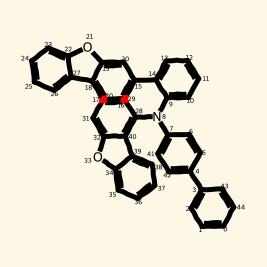 c1ccc(-c2ccc(N(c3ccccc3-c3ccc4c(c3)oc3ccccc34)c3cccc4oc5ccccc5c34)cc2)cc1